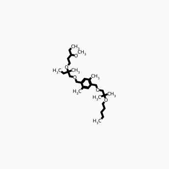 CCCCCOC(C)(C)COCc1cc(C)c(COCC(C)(CC)OCCC(CC)OC)cc1C